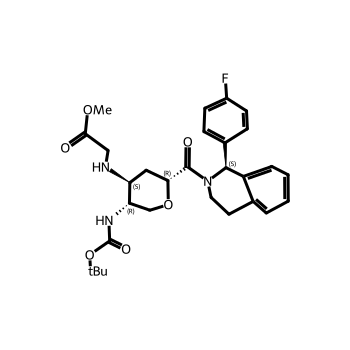 COC(=O)CN[C@H]1C[C@H](C(=O)N2CCc3ccccc3[C@@H]2c2ccc(F)cc2)OC[C@@H]1NC(=O)OC(C)(C)C